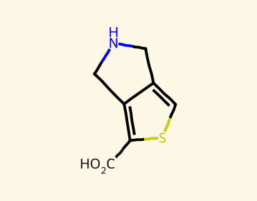 O=C(O)c1scc2c1CNC2